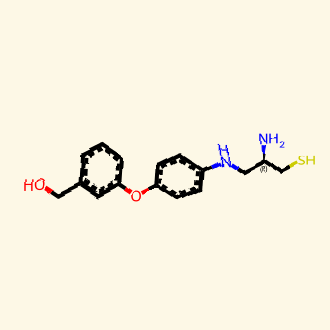 N[C@@H](CS)CNc1ccc(Oc2cccc(CO)c2)cc1